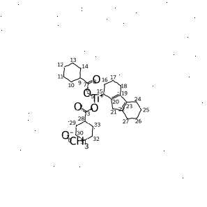 C[O-].O=C([O][Ti+]([O]C(=O)C1CCCCC1)[CH]1CCCC2=C1CC1=C2CCCC1)C1CCCCC1